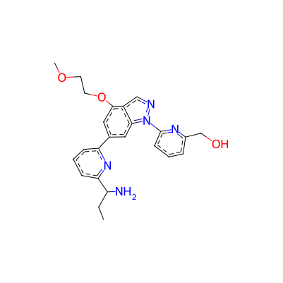 CCC(N)c1cccc(-c2cc(OCCOC)c3cnn(-c4cccc(CO)n4)c3c2)n1